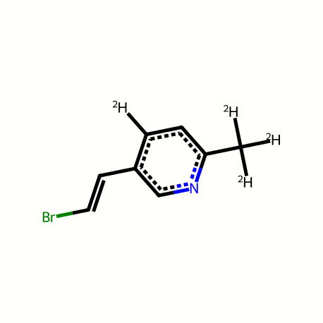 [2H]c1cc(C([2H])([2H])[2H])ncc1C=CBr